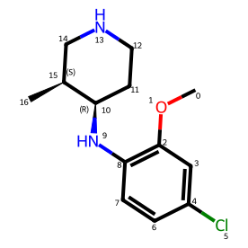 COc1cc(Cl)ccc1N[C@@H]1CCNC[C@@H]1C